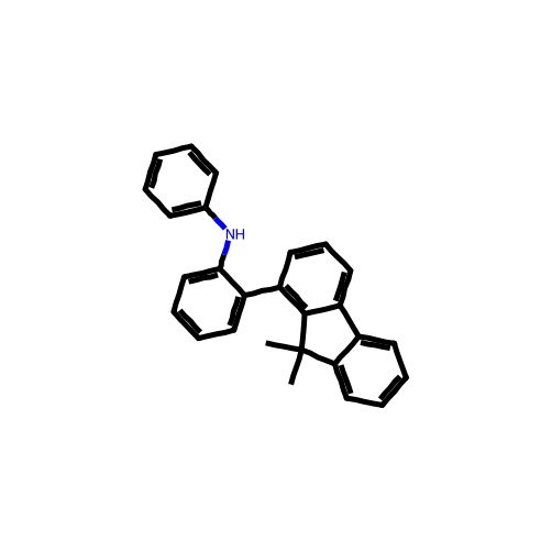 CC1(C)c2ccccc2-c2cccc(-c3ccccc3Nc3ccccc3)c21